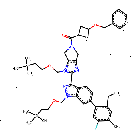 CCc1cc(C)c(F)cc1-c1ccc2c(-c3nc4c(n3COCC[Si](C)(C)C)CN(C(=O)C3CC(OCc5ccccc5)C3)C4)nn(COCC[Si](C)(C)C)c2c1